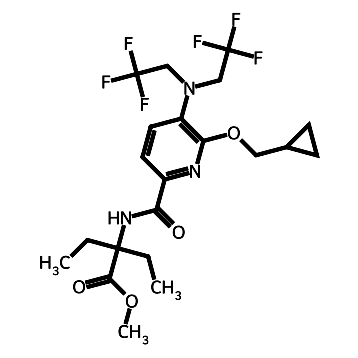 CCC(CC)(NC(=O)c1ccc(N(CC(F)(F)F)CC(F)(F)F)c(OCC2CC2)n1)C(=O)OC